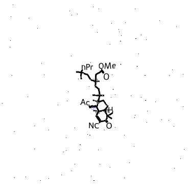 CCCC(C)(C)CC[C@@](C)(CCC(C)(C)[C@]1(C)CC[C@H]2C(C)(C)C(=O)C(C#N)=C[C@]2(C)/C1=C/C(C)=O)CC(=O)OC